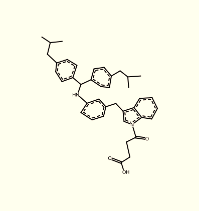 CC(C)Cc1ccc(C(Nc2cccc(Cc3cn(C(=O)CCC(=O)O)c4ccccc34)c2)c2ccc(CC(C)C)cc2)cc1